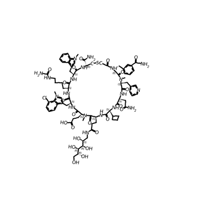 CN1C(=O)[C@H](CCC(=O)NC[C@H](O)[C@@H](O)[C@H](O)[C@H](O)CO)NC(=O)[C@H](C2CCC2)NC(=O)[C@H](CC(N)=O)NC(=O)[C@H](Cc2cccnc2)N(C)C(=O)[C@@H](Cc2cccc(C(N)=O)c2)NC(=O)CSC[C@@H](C(N)=O)NC(=O)[C@H](Cc2cn(C)c3ccccc23)NC(=O)[C@H](CCCCNC(N)=O)NC(=O)[C@H](Cc2cn(C)c3c(Cl)cccc23)NC(=O)[C@@H]1CCC(=O)O